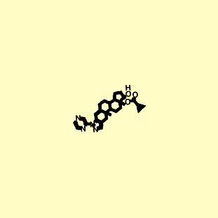 CC12Cc3cnn(-c4cnccn4)c3C=C1CCC1C2CCC2(C)C1CCC2(O)OC(=O)C1CC1